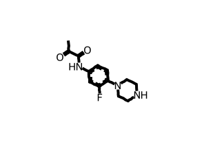 CC(=O)C(=O)Nc1ccc(N2CCNCC2)c(F)c1